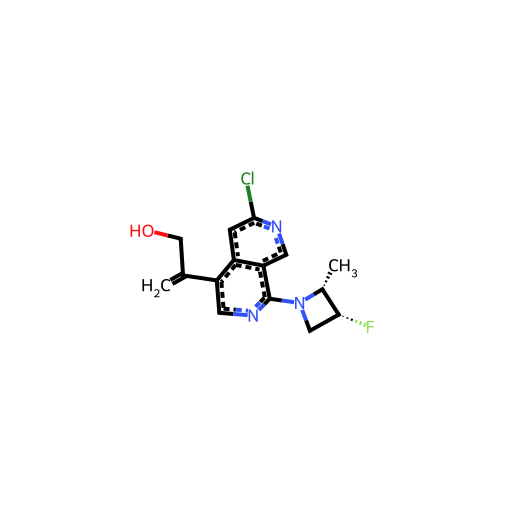 C=C(CO)c1cnc(N2C[C@@H](F)[C@H]2C)c2cnc(Cl)cc12